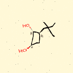 CC(C)(C)[C@H]1C[C@@H](O)[C@@H]1O